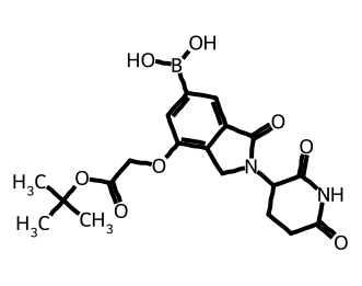 CC(C)(C)OC(=O)COc1cc(B(O)O)cc2c1CN(C1CCC(=O)NC1=O)C2=O